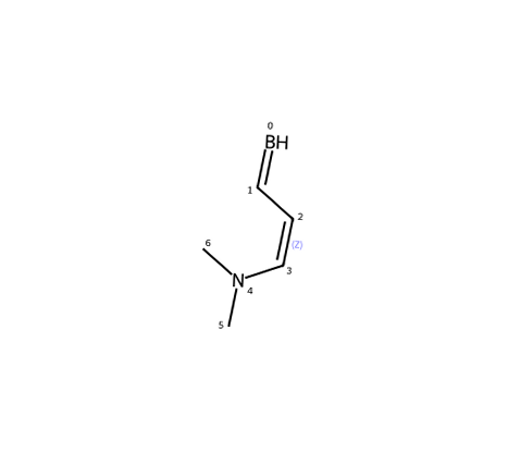 B=C/C=C\N(C)C